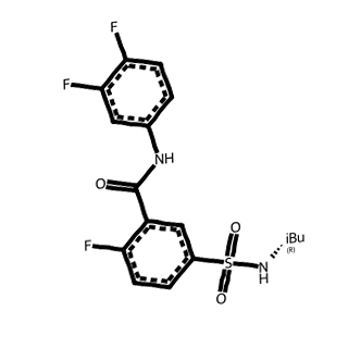 CC[C@@H](C)NS(=O)(=O)c1ccc(F)c(C(=O)Nc2ccc(F)c(F)c2)c1